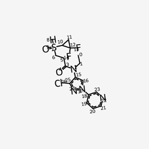 CCN(C(=O)CC[SH](C)(=O)C1CC1(F)F)c1cn(-c2cccnc2)nc1Cl